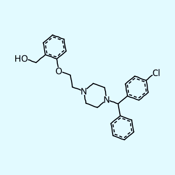 OCc1ccccc1OCCN1CCN(C(c2ccccc2)c2ccc(Cl)cc2)CC1